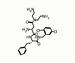 NCCN(CCN)C(=O)C[C@H](N)C(=O)N[C@@H](CCc1ccccc1)C(=O)NCc1cc(Cl)ccc1Cl